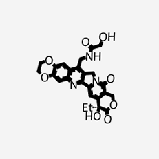 CC[C@@]1(O)C(=O)OCc2c1cc1n(c2=O)Cc2c-1nc1cc3c(cc1c2CNC(=O)CO)OCCO3